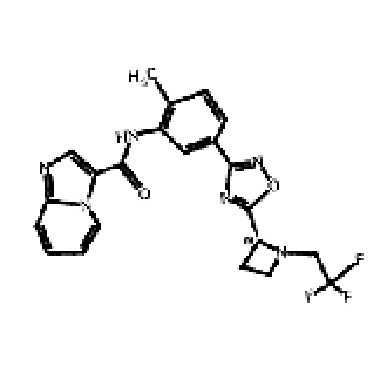 Cc1ccc(-c2noc([C@@H]3CCN3CC(F)(F)F)n2)cc1NC(=O)c1cnc2ccccn12